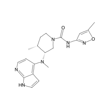 Cc1cc(NC(=O)N2CC[C@@H](C)[C@@H](N(C)c3ccnc4[nH]ccc34)C2)no1